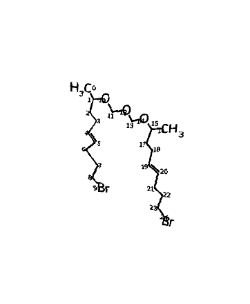 CC(CCC=CCCCBr)OCOCOC(C)CCC=CCCCBr